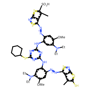 CCN(CC)c1cc(Nc2nc(Nc3cc(N(CC)CC)c(OC)cc3/N=N/c3snc4sc(S(=O)(=O)O)c(C)c34)nc(SC3CCCCC3)n2)c(/N=N/c2snc3sc(S)c(C)c23)cc1OC